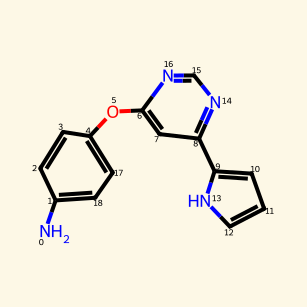 Nc1ccc(Oc2cc(-c3ccc[nH]3)ncn2)cc1